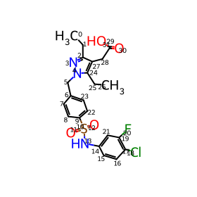 CCc1nn(Cc2ccc(S(=O)(=O)Nc3ccc(Cl)c(F)c3)cc2)c(CC)c1CC(=O)O